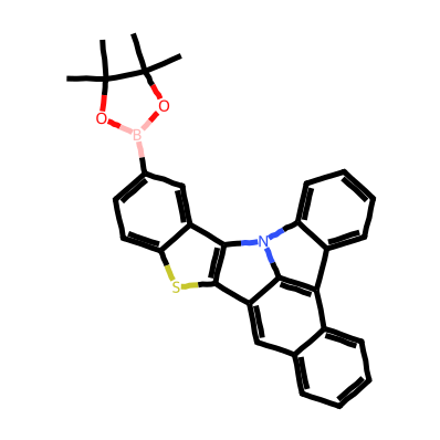 CC1(C)OB(c2ccc3sc4c5cc6ccccc6c6c7ccccc7n(c4c3c2)c56)OC1(C)C